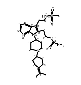 CC(C)=C1CCC(N2CCC(n3c(CCOC(N)=O)c(CCNS(C)(=O)=O)c4cccnc43)CC2)CC1